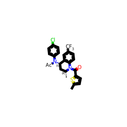 CC(=O)N(c1ccc(Cl)cc1)[C@H]1C[C@@H](C)N(C(=O)c2ccc(C)s2)c2ccc(C(F)(F)F)cc21